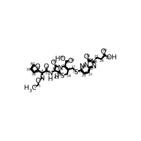 CCON=C(C(=O)NC1C(=O)N2C(C(=O)O)=C(CSc3ccc4nn(CCC(=O)O)c(=O)n4n3)CS[C@@H]12)c1ccco1